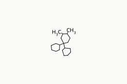 CC1CCC(C2CCCCC2)(C2CCCCC2)CC1C